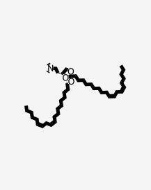 CCCCC/C=C\C/C=C\CCCCCCCCCOC1(CCCCCCCCC/C=C\C/C=C\CCCCC)OC[C@@H](CCN(C)C)O1